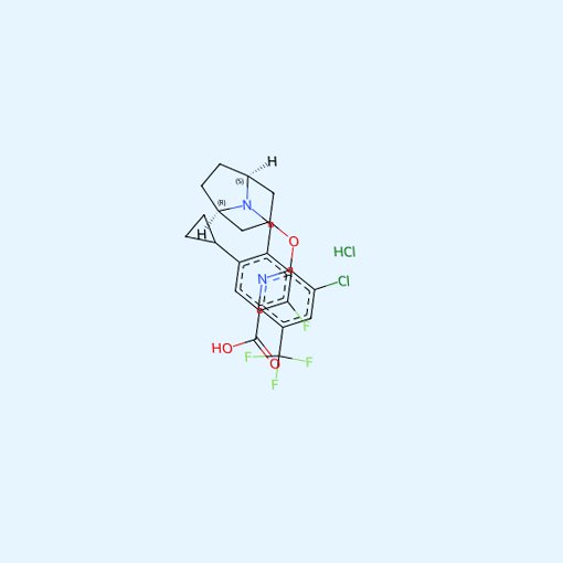 Cl.O=C(O)c1cc(C2CC2)c(CN2[C@@H]3CC[C@H]2CC(Oc2ncc(C(F)(F)F)cc2Cl)C3)cc1F